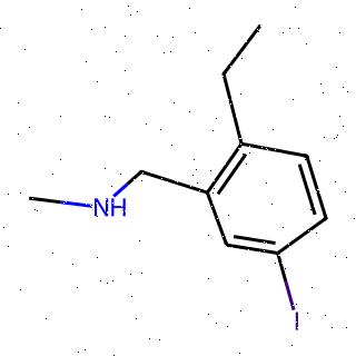 CCc1ccc(I)cc1CNC